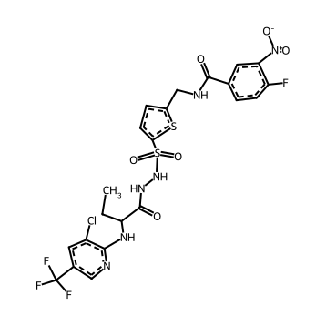 CCC(Nc1ncc(C(F)(F)F)cc1Cl)C(=O)NNS(=O)(=O)c1ccc(CNC(=O)c2ccc(F)c([N+](=O)[O-])c2)s1